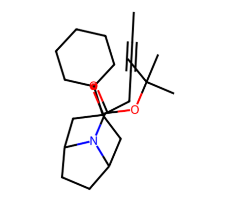 CC#CCC1(C2CCCCC2)CC2CCC(C1)N2C(=O)OC(C)(C)C